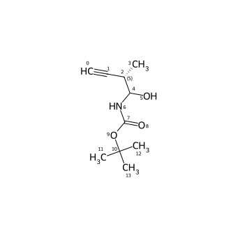 C#C[C@H](C)C(O)NC(=O)OC(C)(C)C